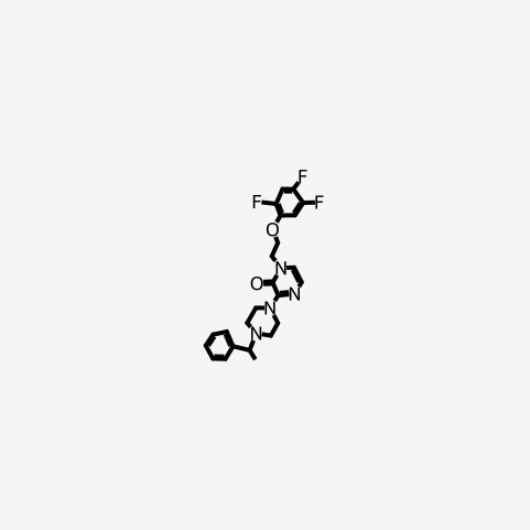 CC(c1ccccc1)N1CCN(c2nccn(CCOc3cc(F)c(F)cc3F)c2=O)CC1